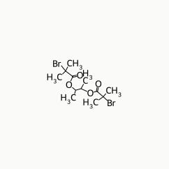 CC(OC(=O)C(C)(C)Br)C(C)OC(=O)C(C)(C)Br